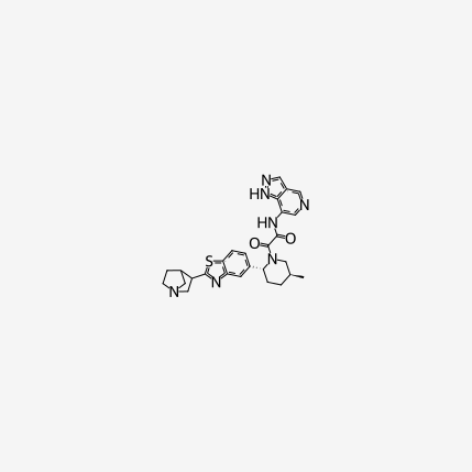 C[C@H]1CC[C@H](c2ccc3sc(C4CN5CCC4C5)nc3c2)N(C(=O)C(=O)Nc2cncc3cn[nH]c23)C1